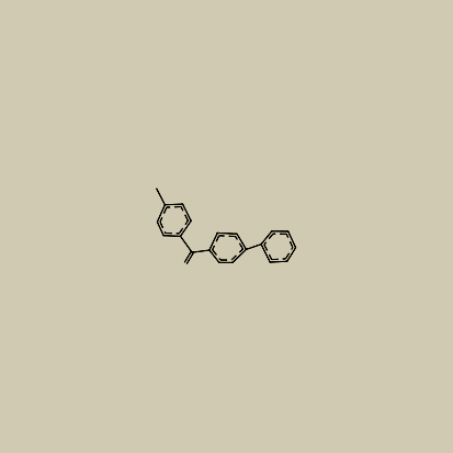 C=C(c1ccc(C)cc1)c1ccc(-c2ccccc2)cc1